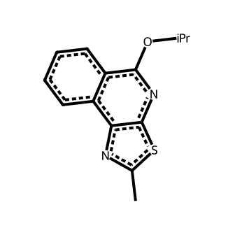 Cc1nc2c(nc(OC(C)C)c3ccccc32)s1